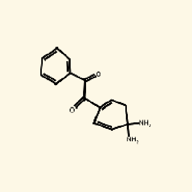 NC1(N)C=CC(C(=O)C(=O)c2ccccc2)=CC1